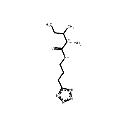 CCC(C)[C@H](N)C(=O)NCCCc1nnn[nH]1